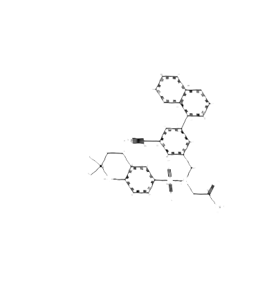 CC1(C)CCc2cc(S(=O)(=O)N(CC(=O)O)Cc3cc(C#N)cc(-c4cccc5ccccc45)c3)ccc2O1